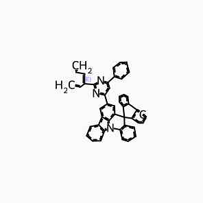 C=C/C=C(\C=C)c1nc(-c2ccccc2)cc(-c2cc3c4c(c2)c2ccccc2n4-c2ccccc2C32c3ccccc3-c3ccccc32)n1